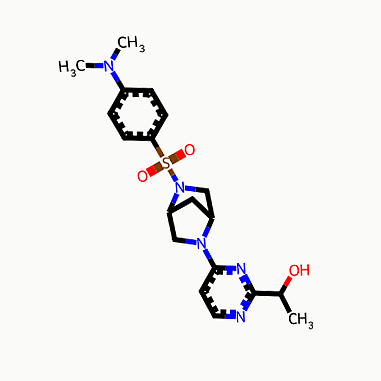 CC(O)c1nccc(N2CC3CC2CN3S(=O)(=O)c2ccc(N(C)C)cc2)n1